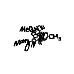 CNC(=O)c1cc(C)c(-c2nc3cc(C)ccn3c2CC2COCCN2C(=O)OC)cn1